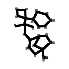 CC(C)(C)C12COC(CC(C)(C)C3(N4CCOCC4)CCC3)C(CO1)C2